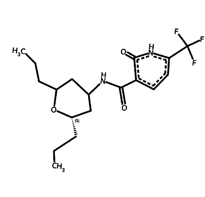 CCCC1CC(NC(=O)c2ccc(C(F)(F)F)[nH]c2=O)C[C@H](CCC)O1